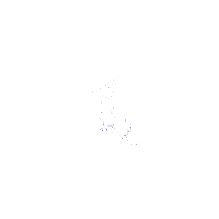 CC(=O)c1cc2ncc(Oc3ccc(F)cc3F)cc2cn1